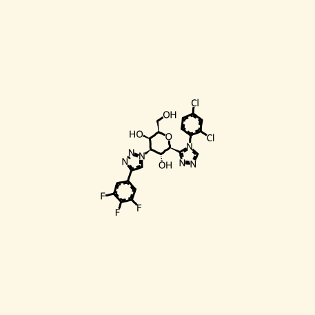 OC[C@H]1O[C@@H](c2nncn2-c2ccc(Cl)cc2Cl)[C@H](O)[C@@H](n2cc(-c3cc(F)c(F)c(F)c3)nn2)[C@H]1O